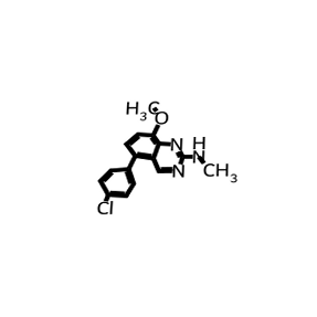 CNc1ncc2c(-c3ccc(Cl)cc3)ccc(OC)c2n1